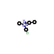 CN1C(c2ccc(Cl)cc2)N=C(c2ccccc2)NC1(C)c1ccc(-c2ccccc2)cc1